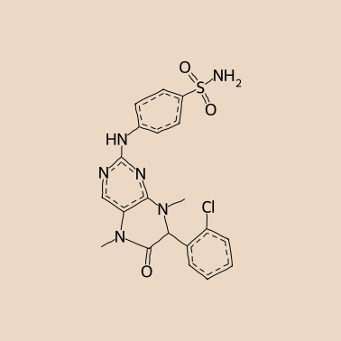 CN1C(=O)C(c2ccccc2Cl)N(C)c2nc(Nc3ccc(S(N)(=O)=O)cc3)ncc21